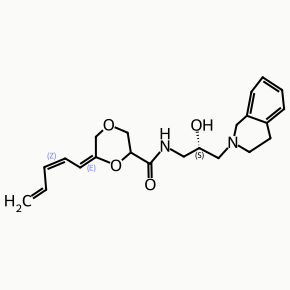 C=C/C=C\C=C1/COCC(C(=O)NC[C@H](O)CN2CCc3ccccc3C2)O1